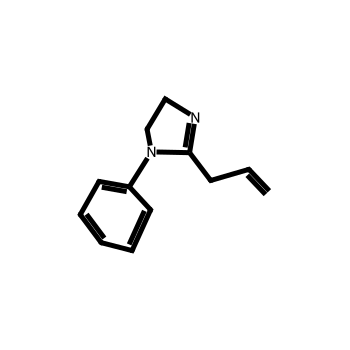 C=CCC1=NCCN1c1ccccc1